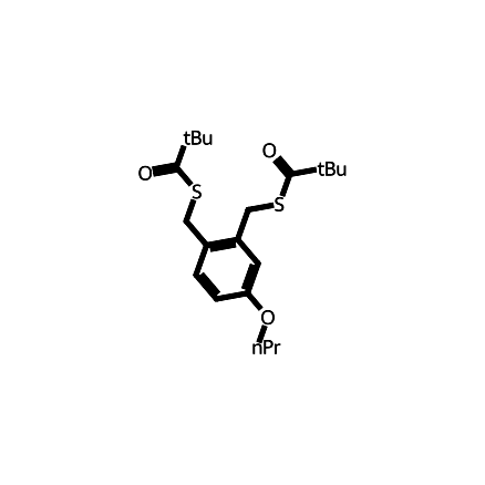 CCCOc1ccc(CSC(=O)C(C)(C)C)c(CSC(=O)C(C)(C)C)c1